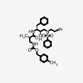 Cc1ccc(COC(=O)NC[C@@H](C)C(=O)N[C@@H](Cc2ccccc2)[C@H](O)CN(CCC(C)C)S(=O)(=O)c2ccccc2)cc1